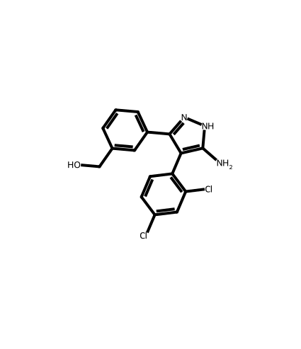 Nc1[nH]nc(-c2cccc(CO)c2)c1-c1ccc(Cl)cc1Cl